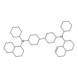 C1=CC2C(CC1)CCCC2N(C1CCCCC1)C1CCC(C2CCC(N(C3CCCCC3)C3CCCC4CCCCC43)CC2)CC1